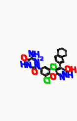 Nc1nn(-c2cc(Cl)c(OC3=NNC(O)C(c4ccc5c(c4)CCCC5)=C3)c(Cl)c2)c(=O)[nH]c1=O